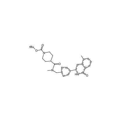 Cc1cccc2c(=O)[nH]c(-c3ccc(CN(C)C(=O)C4CCN(C(=O)OC(C)(C)C)CC4)cc3)cc12